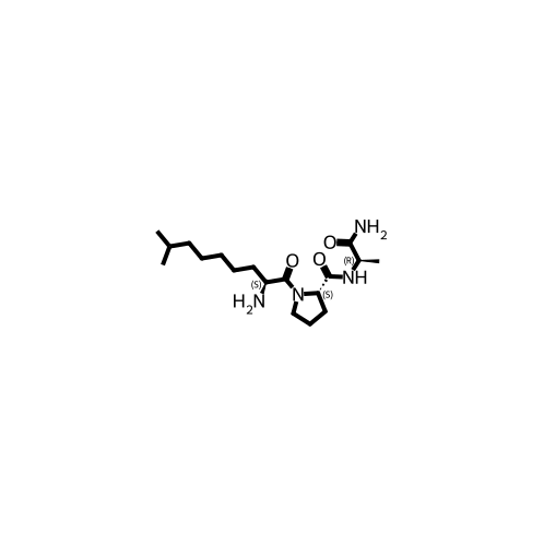 CC(C)CCCCC[C@H](N)C(=O)N1CCC[C@H]1C(=O)N[C@H](C)C(N)=O